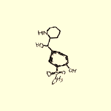 CS(=O)(=O)c1cc(C(O)C2CCCCN2)ccc1O